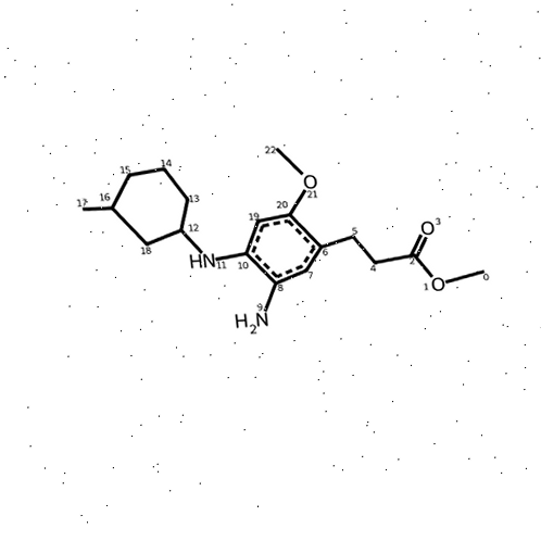 COC(=O)CCc1cc(N)c(NC2CCCC(C)C2)cc1OC